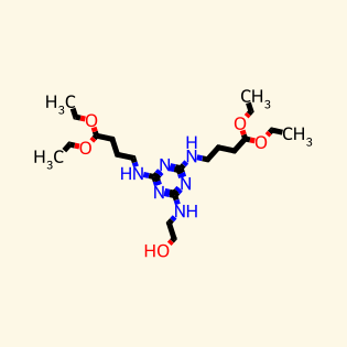 CCOC(CCCNc1nc(NCCO)nc(NCCCC(OCC)OCC)n1)OCC